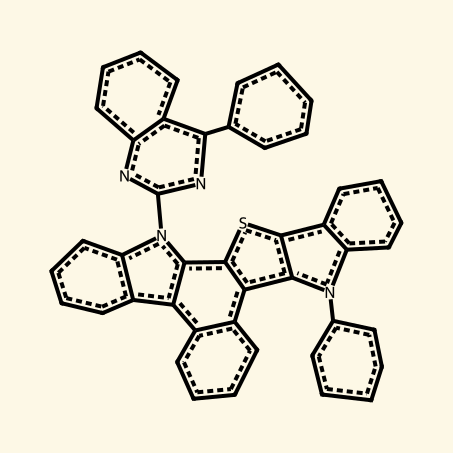 c1ccc(-c2nc(-n3c4ccccc4c4c5ccccc5c5c(sc6c7ccccc7n(-c7ccccc7)c65)c43)nc3ccccc23)cc1